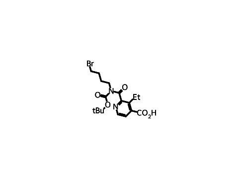 CCc1c(C(=O)O)ccnc1C(=O)N(CCCCBr)C(=O)OC(C)(C)C